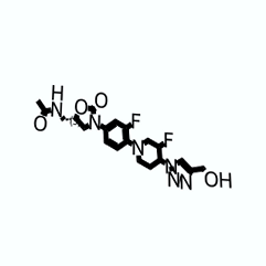 CC(=O)NC[C@H]1CN(c2ccc(N3CCC(n4cc(CO)nn4)C(F)C3)c(F)c2)C(=O)O1